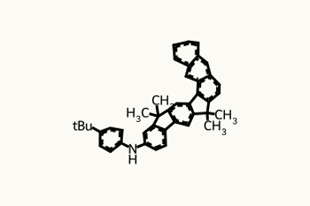 CC(C)(C)c1ccc(Nc2ccc3c(c2)C(C)(C)c2cc4c(cc2-3)C(C)(C)c2ccc3cc5ccccc5cc3c2-4)cc1